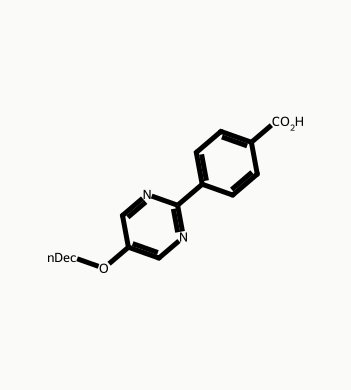 CCCCCCCCCCOc1cnc(-c2ccc(C(=O)O)cc2)nc1